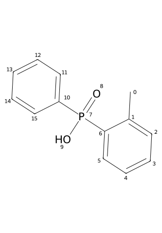 Cc1ccccc1P(=O)(O)c1ccccc1